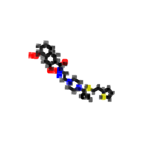 CC(SCCc1cccs1)N1CCN(CCNC(=O)c2cc3cccc(O)c3cc2O)CC1